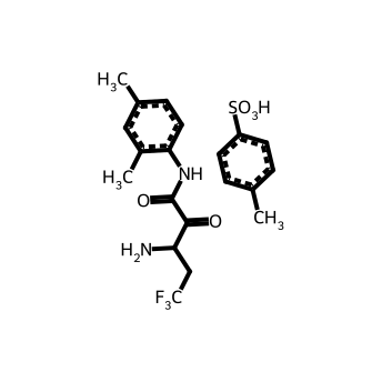 Cc1ccc(NC(=O)C(=O)C(N)CC(F)(F)F)c(C)c1.Cc1ccc(S(=O)(=O)O)cc1